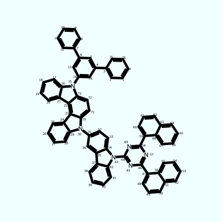 c1ccc(-c2cc(-c3ccccc3)cc(-n3c4ccccc4c4c5c6ccccc6n(-c6ccc7c(c6)c6ccccc6n7-c6nc(-c7cccc8ccccc78)nc(-c7cccc8ccccc78)n6)c5ccc43)c2)cc1